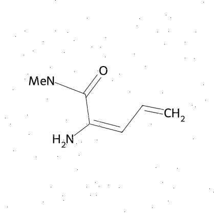 C=C/C=C(/N)C(=O)NC